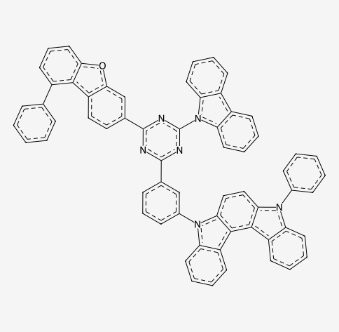 c1ccc(-c2cccc3oc4cc(-c5nc(-c6cccc(-n7c8ccccc8c8c9c%10ccccc%10n(-c%10ccccc%10)c9ccc87)c6)nc(-n6c7ccccc7c7ccccc76)n5)ccc4c23)cc1